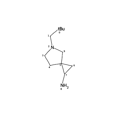 CC(C)(C)CN1CCC2(CC2N)C1